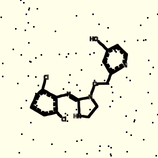 Oc1ccnc(CON2CCN/C2=N\c2c(Cl)cccc2Cl)c1